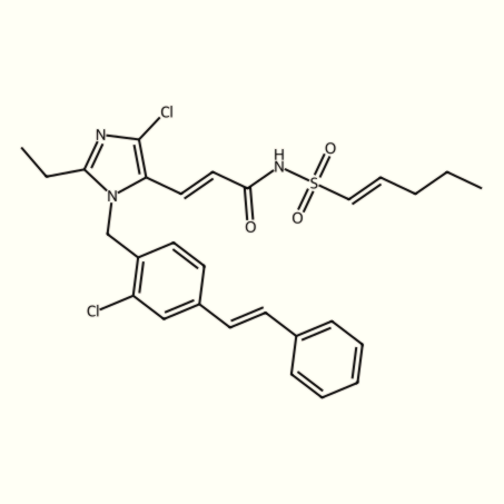 CCC/C=C/S(=O)(=O)NC(=O)/C=C/c1c(Cl)nc(CC)n1Cc1ccc(/C=C/c2ccccc2)cc1Cl